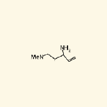 C=CC(N)[CH]CNC